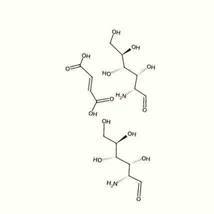 N[C@@H](C=O)[C@@H](O)[C@H](O)[C@H](O)CO.N[C@@H](C=O)[C@@H](O)[C@H](O)[C@H](O)CO.O=C(O)/C=C/C(=O)O